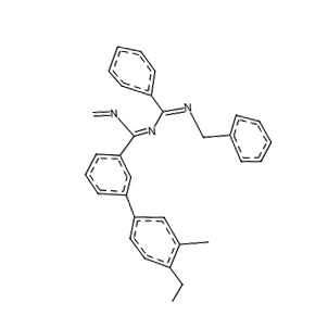 C=N/C(=N\C(=N/Cc1ccccc1)c1ccccc1)c1cccc(-c2ccc(CC)c(C)c2)c1